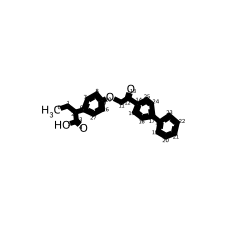 CCC(C(=O)O)c1ccc(OCC(=O)c2ccc(-c3ccccc3)cc2)cc1